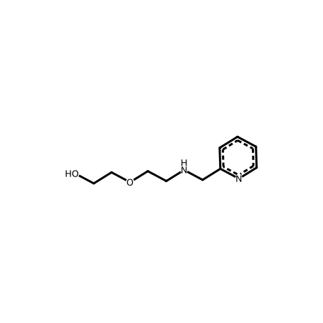 OCCOCCNCc1ccccn1